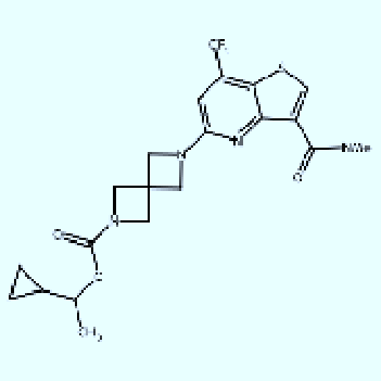 CNC(=O)c1csc2c(C(F)(F)F)cc(N3CC4(CN(C(=O)OC(C)C5CC5)C4)C3)nc12